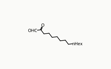 CCCCCCCCCCCCCC(=O)C=O